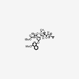 C=C[C@@H]1C[C@]1(NC(=O)[C@@H]1C[C@@H](Oc2ncc(OC)c3ccccc23)CN1C(=O)[C@@H](NC(=O)OC(C)(C)C)C(C)(C)C)C(=O)NS(=O)(=O)C1CC1